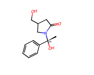 C[C@@](O)(c1ccccc1)N1CC(CO)CC1=O